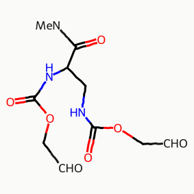 CNC(=O)C(CNC(=O)OCC=O)NC(=O)OCC=O